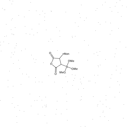 CCCCCCCCCC1C(=O)OC(=O)C1[Si](OC)(OC)OC